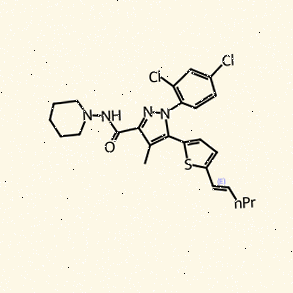 CCC/C=C/c1ccc(-c2c(C)c(C(=O)NN3CCCCC3)nn2-c2ccc(Cl)cc2Cl)s1